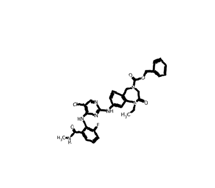 CCN1C(=O)CN(C(=O)OCc2ccccc2)Cc2ccc(Nc3ncc(Cl)c(Nc4c(F)cccc4C(=O)NC)n3)cc21